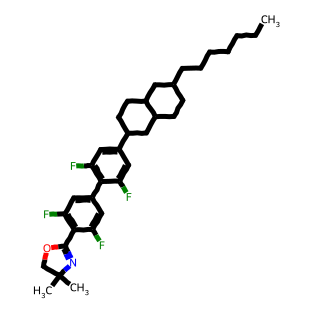 CCCCCCCC1CCC2CC(c3cc(F)c(-c4cc(F)c(C5=NC(C)(C)CO5)c(F)c4)c(F)c3)CCC2C1